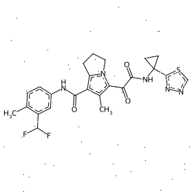 Cc1ccc(NC(=O)c2c(C)c(C(=O)C(=O)NC3(c4nncs4)CC3)n3c2CCC3)cc1C(F)F